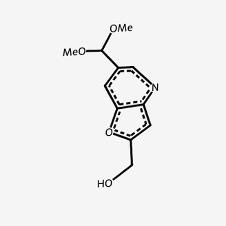 COC(OC)c1cnc2cc(CO)oc2c1